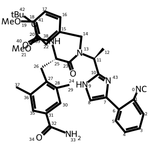 [C-]#[N+]c1ccccc1-c1c[nH]c([C@H](C)N(Cc2ccc(OC)c(OC)c2)C(=O)[C@H](Cc2c(C)cc(C(N)=O)cc2C)NC(=O)OC(C)(C)C)n1